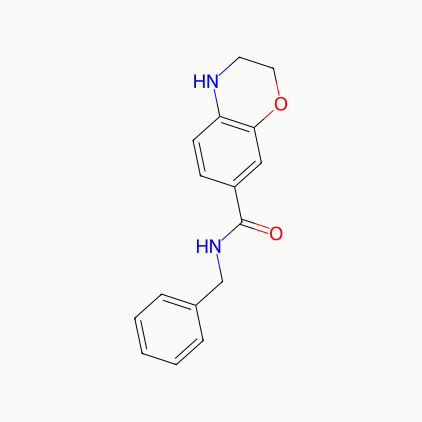 O=C(NCc1ccccc1)c1ccc2c(c1)OCCN2